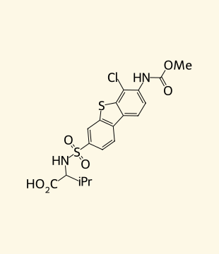 COC(=O)Nc1ccc2c(sc3cc(S(=O)(=O)NC(C(=O)O)C(C)C)ccc32)c1Cl